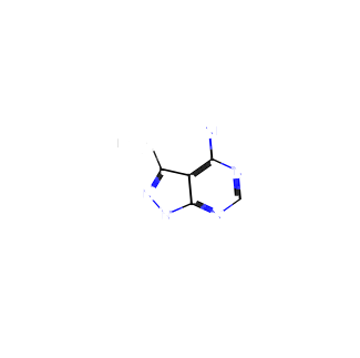 Nc1ncnc2[nH]nc(C(=O)O)c12